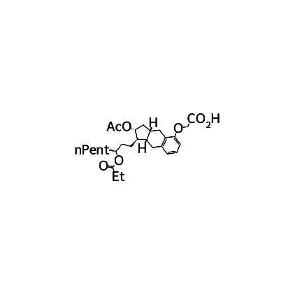 CCCCC[C@@H](CC[C@@H]1[C@H]2Cc3cccc(OCC(=O)O)c3C[C@H]2C[C@H]1OC(C)=O)OC(=O)CC